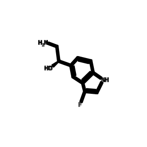 NC[C@H](O)c1ccc2[nH]cc(F)c2c1